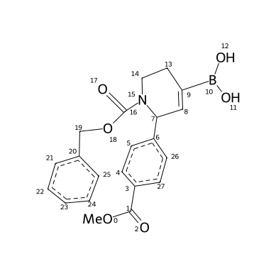 COC(=O)c1ccc(C2C=C(B(O)O)CCN2C(=O)OCc2ccccc2)cc1